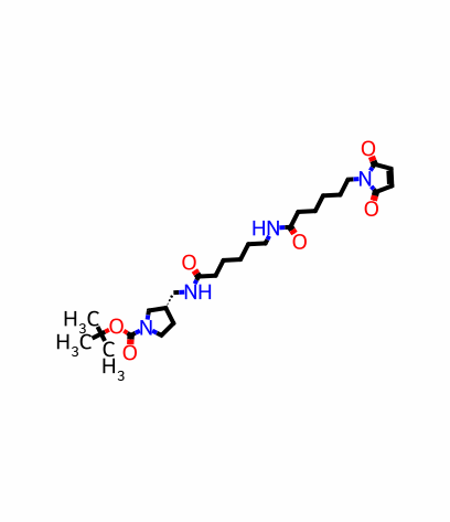 CC(C)(C)OC(=O)N1CC[C@@H](CNC(=O)CCCCCNC(=O)CCCCCN2C(=O)C=CC2=O)C1